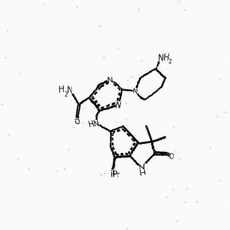 CC(C)c1cc(Nc2nc(N3CCC[C@H](N)C3)ncc2C(N)=O)cc2c1NC(=O)C2(C)C